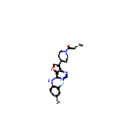 Cc1ccc(Nc2ncnc3c(C4CCN(C(=O)CC(C)(C)C)CC4)coc23)c(F)c1